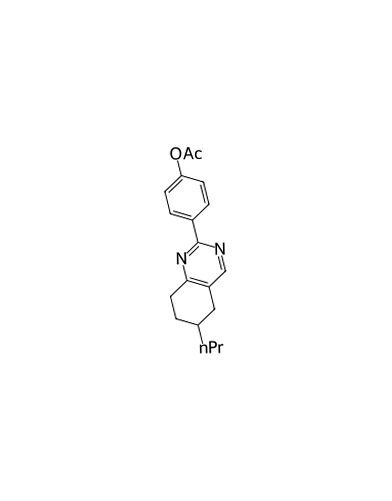 CCCC1CCc2nc(-c3ccc(OC(C)=O)cc3)ncc2C1